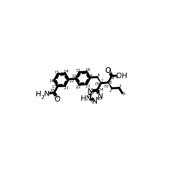 CCC[C@H](C(=O)O)[C@H](Cc1ccc(-c2cccc(C(N)=O)c2)cc1)c1nn[nH]n1